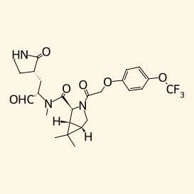 CN(C(=O)[C@@H]1[C@@H]2[C@H](CN1C(=O)COc1ccc(OC(F)(F)F)cc1)C2(C)C)[C@H](C=O)C[C@@H]1CCNC1=O